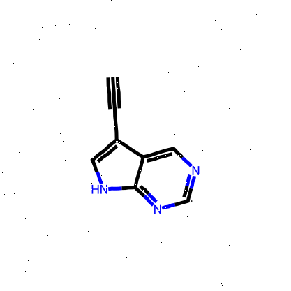 C#Cc1c[nH]c2n[c]ncc12